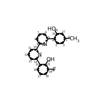 Cc1ccc(-c2cccc(-c3cccc(-c4cccc(F)c4O)n3)n2)c(O)c1